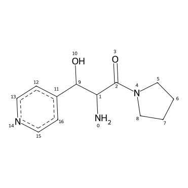 NC(C(=O)N1CCCC1)C(O)c1ccncc1